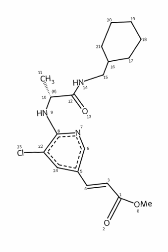 COC(=O)C=Cc1cnc(N[C@H](C)C(=O)NCC2CCCCC2)c(Cl)c1